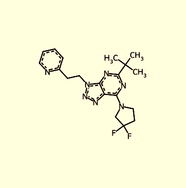 CC(C)(C)c1nc(N2CCC(F)(F)C2)c2nnn(CCc3ccccn3)c2n1